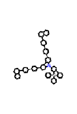 c1ccc([Si]2(c3ccccc3)c3ccccc3-c3ccc(-n4c5ccc(-c6ccc(-c7ccc(-c8cccc9ccccc89)cc7)cc6)cc5c5cc(-c6ccc(-c7ccc(-c8cccc9ccccc89)cc7)cc6)ccc54)cc32)cc1